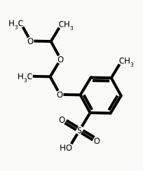 COC(C)OC(C)Oc1cc(C)ccc1S(=O)(=O)O